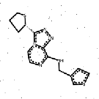 c1cn2c([C@@H]3CCCS3)nnc2c(NCc2ccsc2)n1